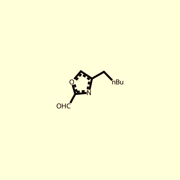 CCCCCc1coc(C=O)n1